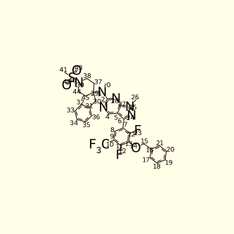 CN(c1ncc2c(-c3cc(C(F)(F)F)c(F)c(OCc4ccccc4)c3F)nn(C)c2n1)C1(Cc2ccccc2)CCN(S(C)(=O)=O)CC1